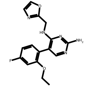 CCOc1cc(F)ccc1-c1cnc(N)nc1NCc1ncco1